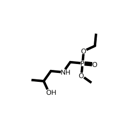 CCOP(=O)(CNCC(C)O)OC